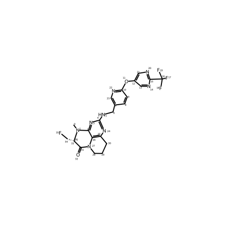 CN1c2nc(NCc3ccc(Oc4cnc(C(F)(F)F)nc4)nc3)nc3c2N(CCC3)C(=O)[C@@H]1CF